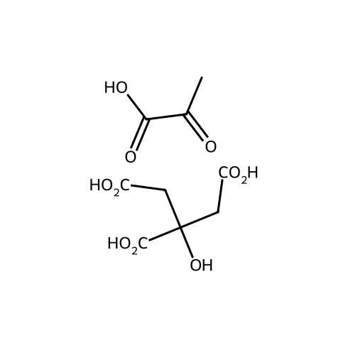 CC(=O)C(=O)O.O=C(O)CC(O)(CC(=O)O)C(=O)O